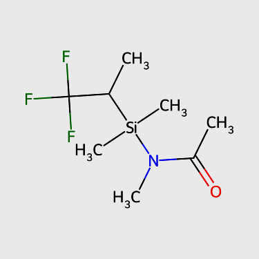 CC(=O)N(C)[Si](C)(C)C(C)C(F)(F)F